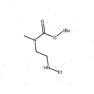 CCNCCN(C)C(=O)OC(C)(C)C